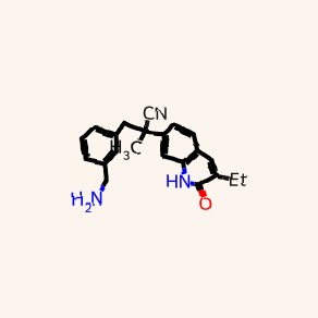 CCc1cc2ccc(C(C)(C#N)Cc3cccc(CN)c3)cc2[nH]c1=O